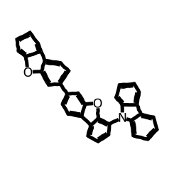 c1ccc2c(c1)oc1cc(-c3ccc4c(c3)oc3c(-n5c6ccccc6c6ccccc65)cccc34)ccc12